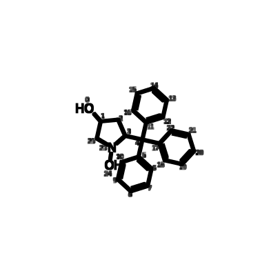 OC1CC(C(c2ccccc2)(c2ccccc2)c2ccccc2)N(O)C1